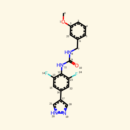 COc1cccc(CNC(=O)Nc2c(F)cc(-c3cn[nH]c3)cc2F)c1